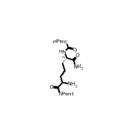 CCCCCC(=O)N[C@@H](CCCC(N)C(=O)CCCCC)C(N)=O